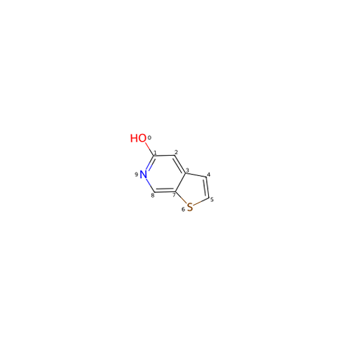 Oc1cc2ccsc2cn1